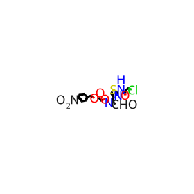 O=[C]C(=NOCC(=O)OCc1ccc([N+](=O)[O-])cc1)c1csc(NC(=O)CCl)n1